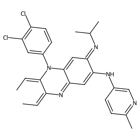 C/C=c1/nc2cc(Nc3ccc(C)nc3)/c(=N/C(C)C)cc-2n(-c2ccc(Cl)c(Cl)c2)/c1=C/C